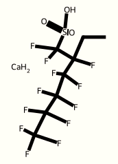 CCC(F)(C(F)(F)C(F)(F)C(F)(F)C(F)(F)F)C(F)(F)S(=O)(=O)O.[CaH2]